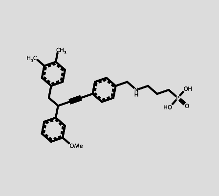 COc1cccc(C(C#Cc2ccc(CNCCCP(=O)(O)O)cc2)Cc2ccc(C)c(C)c2)c1